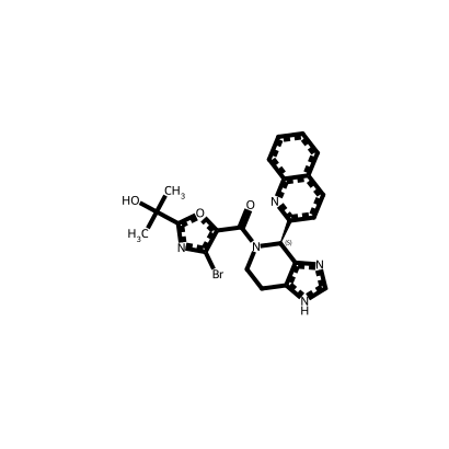 CC(C)(O)c1nc(Br)c(C(=O)N2CCc3[nH]cnc3[C@@H]2c2ccc3ccccc3n2)o1